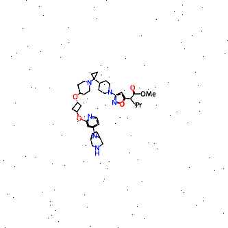 COC(=O)C(c1cc(N2CCC(C3(N4CCC(O[C@H]5C[C@H](Oc6cc(N7C8CCC7CNC8)ccn6)C5)CC4)CC3)CC2)no1)C(C)C